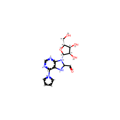 O=CC1Nc2c(ncnc2-n2cccc2)N1[C@@H]1O[C@H](CO)[C@@H](O)[C@H]1O